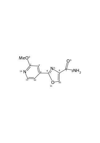 COc1cc(-c2nc(C(N)=O)co2)ccn1